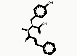 CN(C(=O)/C=C/c1ccccc1)[C@@H](Cc1ccc(O)cc1)C(=O)O